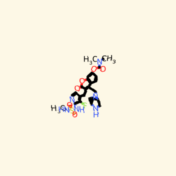 CNS(=O)(=O)Nc1nccc(Cc2c(CN3CC4CC3CN4)c3ccc(OC(=O)N(C)C)cc3oc2=O)c1F